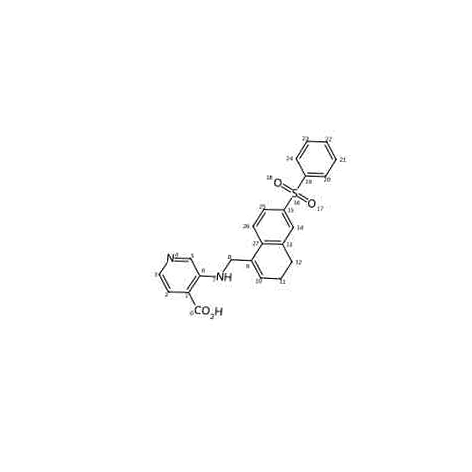 O=C(O)c1ccncc1NCC1=CCCc2cc(S(=O)(=O)c3ccccc3)ccc21